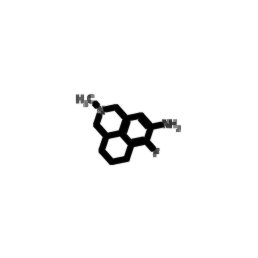 CN1Cc2cc(N)c(F)c3c2C(CCC3)C1